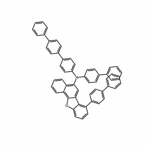 c1ccc(-c2ccc(-c3ccc(N(c4ccc(-c5ccccc5)cc4)c4cc5c(oc6cccc(-c7ccc(-c8ccccc8)cc7)c65)c5ccccc45)cc3)cc2)cc1